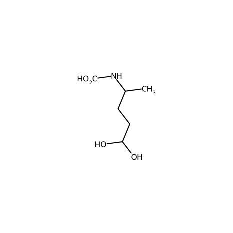 CC(CCC(O)O)NC(=O)O